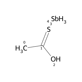 CC(O)=S.[SbH3]